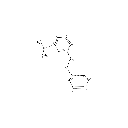 CN(C)c1cccc(OCc2ccccc2)c1